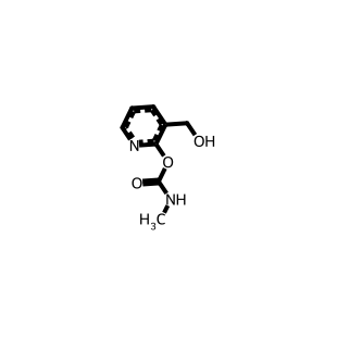 CNC(=O)Oc1ncccc1CO